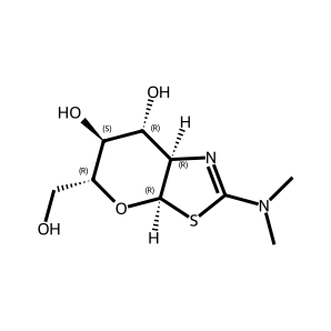 CN(C)C1=N[C@@H]2[C@@H](O)[C@H](O)[C@@H](CO)O[C@@H]2S1